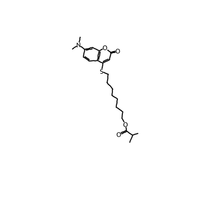 CC(C)C(=O)OCCCCCCCCSc1cc(=O)oc2cc(N(C)C)ccc12